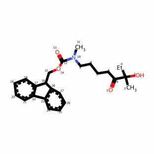 CCC(C)(O)C(=O)CCCCN(C)C(=O)OCC1c2ccccc2-c2ccccc21